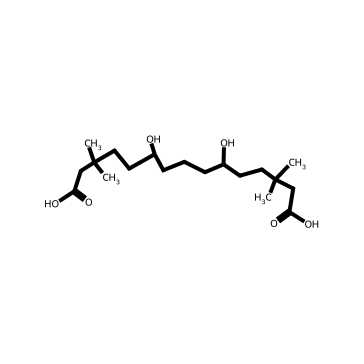 CC(C)(CCC(O)CCCC(O)CCC(C)(C)CC(=O)O)CC(=O)O